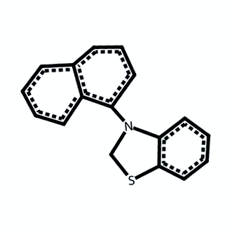 c1ccc2c(c1)SCN2c1cccc2ccccc12